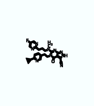 CN(CCCc1ncc(F)cn1)c1nc2n[nH]c(C#N)c2c(=O)n1CCc1ccc(C2CC2)nc1